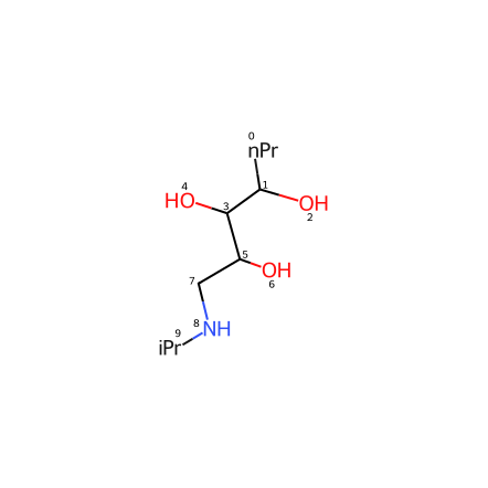 CCCC(O)C(O)C(O)CNC(C)C